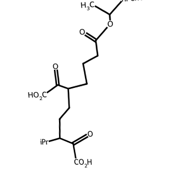 CCCCCC(C)OC(=O)CCCC(CCC(C(=O)C(=O)O)C(C)C)C(=O)C(=O)O